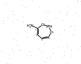 Nc1ccco[pH]o1